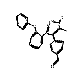 Cc1c(-c2ccc(C=O)cc2)c(-c2ccccc2Oc2ccccc2)n[nH]c1=O